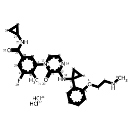 CNCCOc1ccccc1C1(Nc2nccn(-c3cc(C(=O)NC4CC4)cc(F)c3C)c2=O)CC1.Cl.Cl